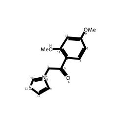 COc1ccc(C(=O)C[n+]2ccsc2)c(OC)c1